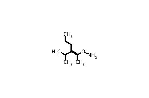 CCC/C(=C(/C)ON)C(C)C